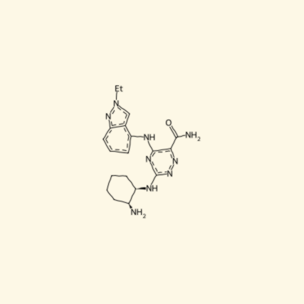 CCn1cc2c(Nc3nc(N[C@@H]4CCCC[C@@H]4N)nnc3C(N)=O)cccc2n1